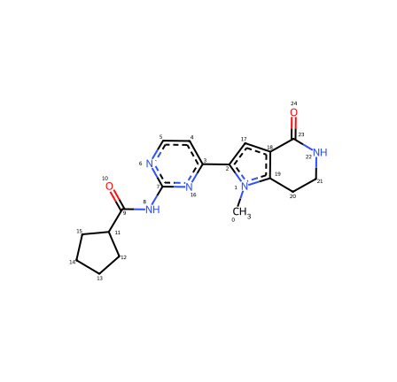 Cn1c(-c2ccnc(NC(=O)C3CCCC3)n2)cc2c1CCNC2=O